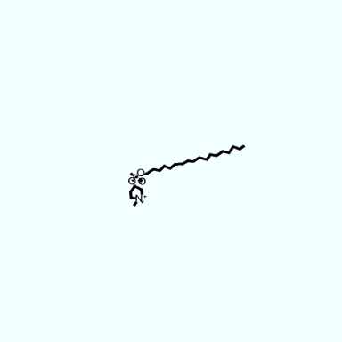 CCCCCCCCCCCCCCCCCCOP(C)(=O)OC1CC[N+](C)(C)CC1